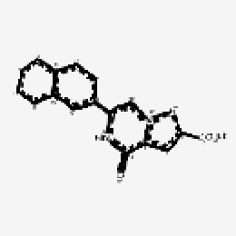 CCOC(=O)c1cc2c(=O)[nH]c(-c3ccc4ccccc4c3)cn2n1